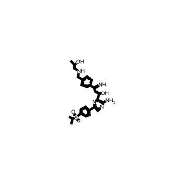 CC(O)CNCc1ccc(C(=N)/C=C(\O)c2nc(-c3ccc(S(=O)(=O)C(C)C)cc3)cnc2N)cc1